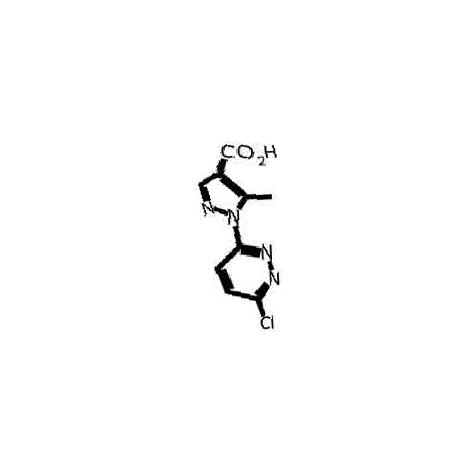 Cc1c(C(=O)O)cnn1-c1ccc(Cl)nn1